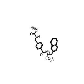 CC(C)(C)OC(=O)NCc1ccc(C(=O)N[C@H](Cc2ccc3ccccc3c2)C(=O)O)cc1